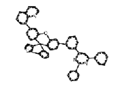 c1ccc(-c2cc(-c3cccc(-c4ccc5c(c4)Oc4cc(-c6cccc7cccnc67)ccc4C54c5ccccc5-c5ccccc54)c3)nc(-c3ccccc3)n2)cc1